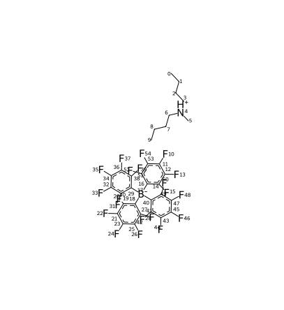 CCCC[NH+](C)CCCC.Fc1c(F)c(F)c([B-](c2c(F)c(F)c(F)c(F)c2F)(c2c(F)c(F)c(F)c(F)c2F)c2c(F)c(F)c(F)c(F)c2F)c(F)c1F